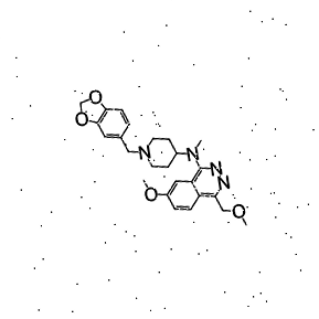 COCc1nnc(N(C)C2CCN(Cc3ccc4c(c3)OCO4)CC2)c2cc(OC)ccc12